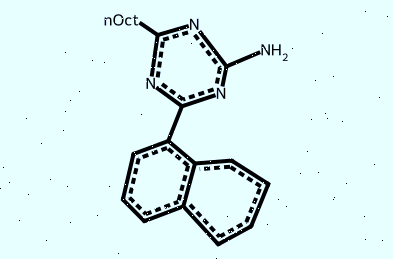 CCCCCCCCc1nc(N)nc(-c2cccc3ccccc23)n1